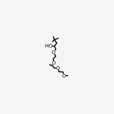 COCCOCC(C)OCCOCC(O)CC(C)(C)C